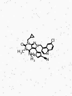 Cn1cc(C#N)cc1-c1c2c(=N)n(C)c(=O)n(CC3CC3)c2nn1Cc1ccnc2ccc(Cl)cc12